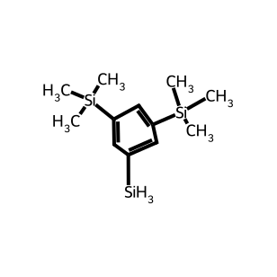 C[Si](C)(C)c1cc([SiH3])cc([Si](C)(C)C)c1